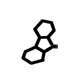 [CH]1CCCC2C1NC1CCCCC12